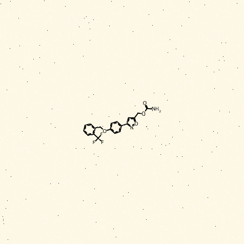 NC(=O)OCc1cc(-c2ccc(OCc3ccccc3C(F)(F)F)cc2)no1